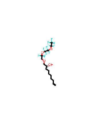 C=CCCCCCC[C@@H](O)COCC(F)(F)OC(F)(F)C(F)(F)OC(F)(F)C(F)(F)F